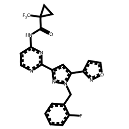 O=C(Nc1ccnc(-c2cc(-c3ccon3)n(Cc3ccccc3F)n2)n1)C1(C(F)(F)F)CC1